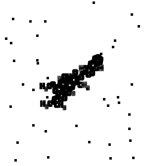 COC(=O)C1C[C@H](O)C2C3(C)CC(=O)C(OCC(=O)NC(Cc4ccccc4)C(=O)O)=C(C)C3CC3OC(=O)C(OC(=O)C=C(C)C)C1C32C